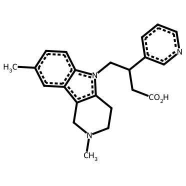 Cc1ccc2c(c1)c1c(n2CC(CC(=O)O)c2cccnc2)CCN(C)C1